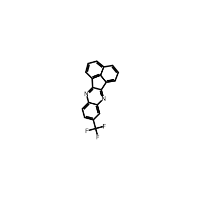 FC(F)(F)c1ccc2nc3c(nc2c1)-c1cccc2cccc-3c12